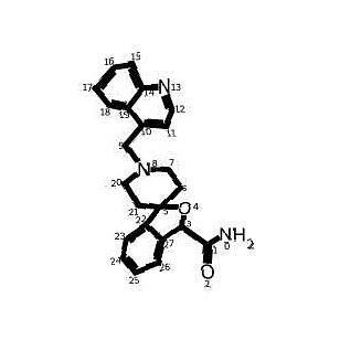 NC(=O)C1OC2(CCN(Cc3ccnc4ccccc34)CC2)c2ccccc21